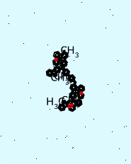 Cc1ccc2c(c1)C(c1ccccc1)(c1ccccc1)c1cc(N(c3ccc(-c4ccc(Cc5ccc6c(c5)C(c5ccccc5)(c5ccccc5)c5cc(N(c7ccc8c(c7)C(C)(C)c7ccccc7-8)c7ccccc7-c7ccccc7)ccc5-6)cc4)cc3)c3ccc4c(c3)C(C)(C)c3ccccc3-4)ccc1-2